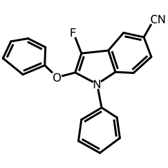 N#Cc1ccc2c(c1)c(F)c(Oc1ccccc1)n2-c1ccccc1